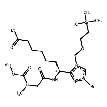 CCC(=O)CCCCC[C@H](NC(=O)CN(C)C(=O)OC(C)(C)C)c1nc(Br)cn1COCC[Si](C)(C)C